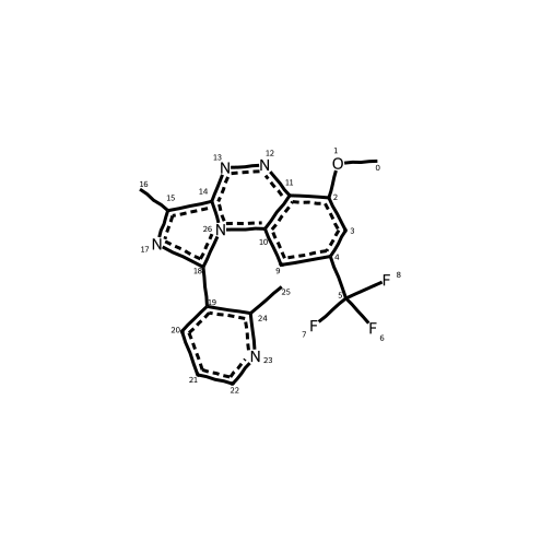 COc1cc(C(F)(F)F)cc2c1nnc1c(C)nc(-c3cccnc3C)n12